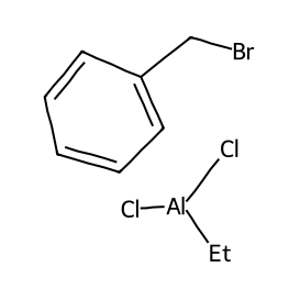 BrCc1ccccc1.C[CH2][Al]([Cl])[Cl]